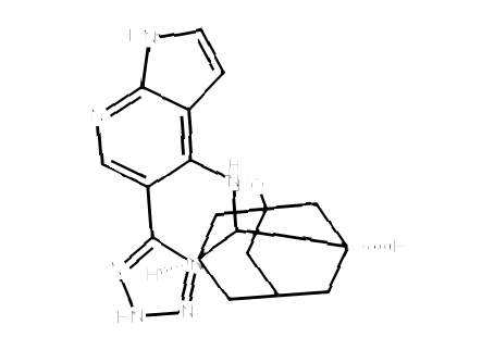 OC12CC3C[C@H](C1)C(Nc1c(-c4nn[nH]n4)cnc4[nH]ccc14)[C@@H](C3)C2